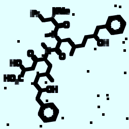 CN[C@@H](CC(C)C)C(=O)N(C)[C@@H](CC(C)CCC(O)Cc1ccccc1)C(=O)N(C)[C@@H](CC(C)CCC(O)Cc1ccccc1)C(=O)CC(O)C(=O)O